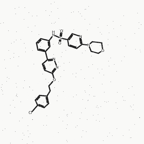 O=S(=O)(Nc1cccc(-c2ccc(OCCc3ccc(Cl)cc3)nn2)c1)c1ccc(N2CCOCC2)nc1